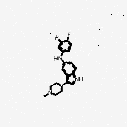 CN1CCC(c2c[nH]c3ccc(Nc4ccc(F)c(F)c4)cc23)CC1